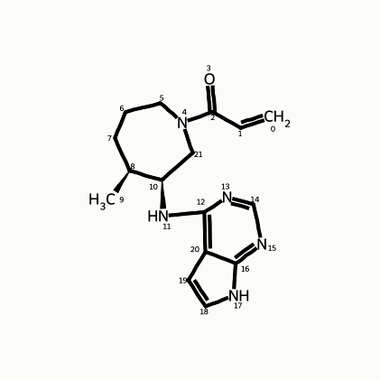 C=CC(=O)N1CCC[C@H](C)[C@H](Nc2ncnc3[nH]ccc23)C1